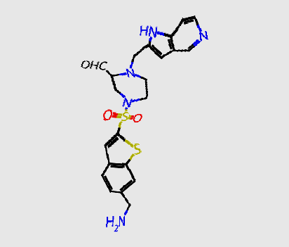 NCc1ccc2cc(S(=O)(=O)N3CCN(Cc4cc5cnccc5[nH]4)C(C=O)C3)sc2c1